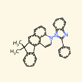 CC1(C)c2ccccc2-c2c1cc1cccc3c1c2C=CN3n1c(-c2ccccc2)nc2ccccc21